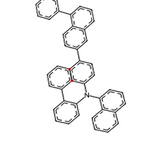 c1ccc(-c2ccccc2N(c2ccc(-c3ccc4c(-c5ccccc5)cccc4c3)cc2)c2cccc3ccccc23)cc1